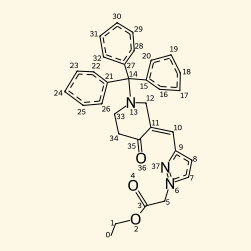 CCOC(=O)Cn1ccc(/C=C2/CN(C(c3ccccc3)(c3ccccc3)c3ccccc3)CCC2=O)n1